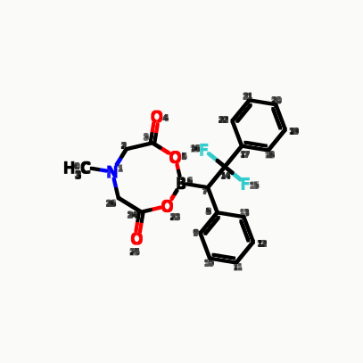 CN1CC(=O)OB(C(c2ccccc2)C(F)(F)c2ccccc2)OC(=O)C1